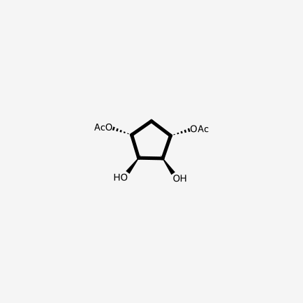 CC(=O)O[C@H]1C[C@@H](OC(C)=O)[C@H](O)[C@@H]1O